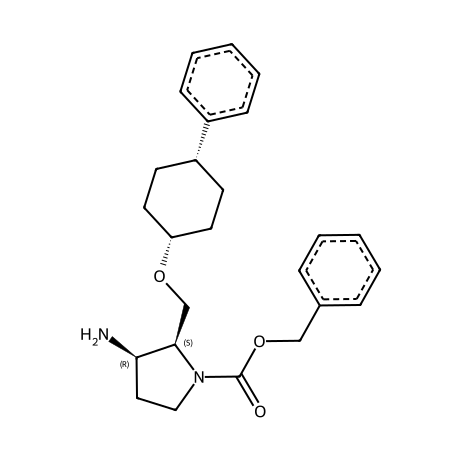 N[C@@H]1CCN(C(=O)OCc2ccccc2)[C@@H]1CO[C@H]1CC[C@@H](c2ccccc2)CC1